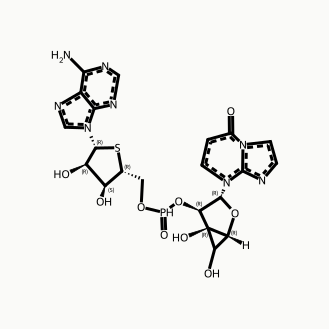 Nc1ncnc2c1ncn2[C@@H]1S[C@H](CO[PH](=O)O[C@H]2[C@H](n3ccc(=O)n4ccnc34)O[C@@H]3C(O)[C@@]32O)[C@@H](O)[C@H]1O